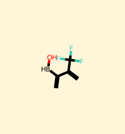 C=C(BO)C(=C)C(F)(F)F